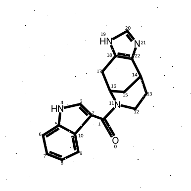 O=C(c1c[nH]c2ccccc12)N1CCC2CC1Cc1[nH]cnc12